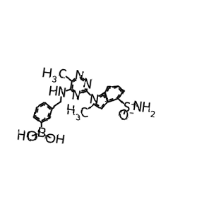 Cc1nnc(-n2c(C)cc3c([S+](N)[O-])cccc32)nc1NCc1cccc(B(O)O)c1